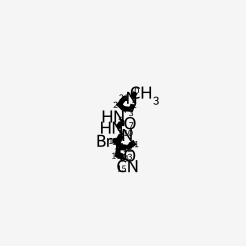 CN1CCC(NC(=O)Nc2ncc3oc(C#N)cc3c2Br)CC1